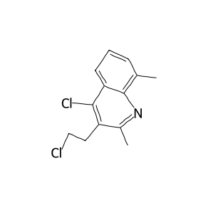 Cc1nc2c(C)cccc2c(Cl)c1CCCl